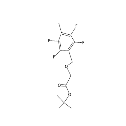 [CH2]c1c(F)c(F)c(COCC(=O)OC(C)(C)C)c(F)c1F